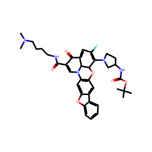 CN(C)CCCCNC(=O)C1=CN2c3cc4oc5ccccc5c4cc3OC3C(N4CCC(NC(=O)OC(C)(C)C)C4)=C(F)C=C(C1=O)C32